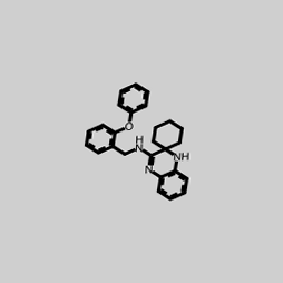 c1ccc(Oc2ccccc2CNC2=Nc3ccccc3NC23CCCCC3)cc1